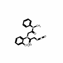 CCOC(=O)c1ccccc1N(CC(=O)N(C)c1ccccc1)C(=O)CN=C=O